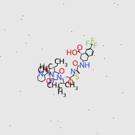 CCC(C)C(NC(=O)C1CCCCN1C)C(=O)N(CCOC)[C@H](CC(=O)c1nc(C(=O)N[C@H]2Cc3ccc(C(F)(F)F)cc3[C@H](C(=O)O)C2)cs1)C(C)C